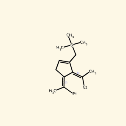 CC/C(C)=C1/C(C[Si](C)(C)C)=CC/C1=C(\C)C(C)C